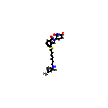 C=C(C)CC(CC)(CCC)NCCCCCCCSc1cccc2c1CN(C1CCC(=O)NC1=O)C2=O